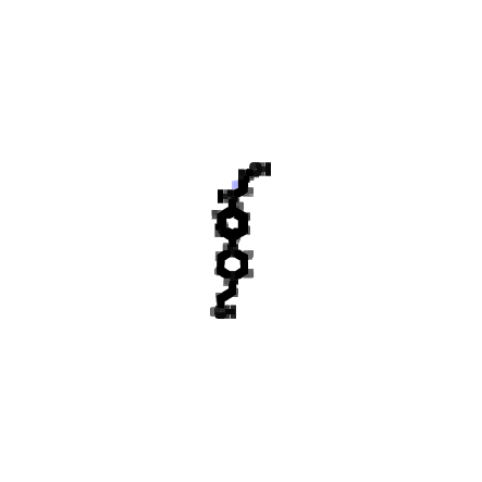 OCCN1CCN(c2ccc(N/C=N/O)cn2)CC1